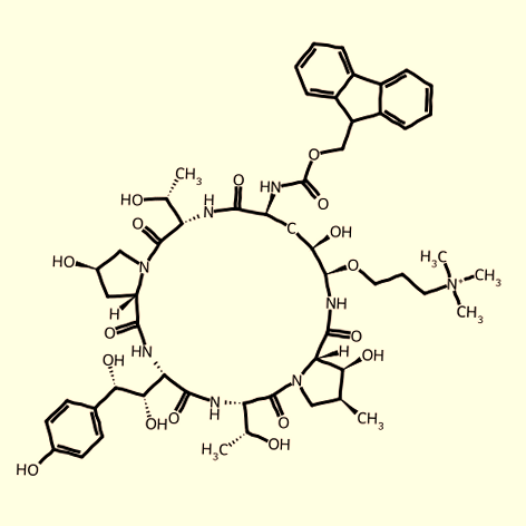 C[C@@H](O)[C@@H]1NC(=O)[C@H]([C@H](O)[C@@H](O)c2ccc(O)cc2)NC(=O)[C@@H]2C[C@@H](O)CN2C(=O)[C@H]([C@@H](C)O)NC(=O)[C@@H](NC(=O)OCC2c3ccccc3-c3ccccc32)C[C@@H](O)[C@@H](OCCC[N+](C)(C)C)NC(=O)[C@@H]2[C@@H](O)[C@@H](C)CN2C1=O